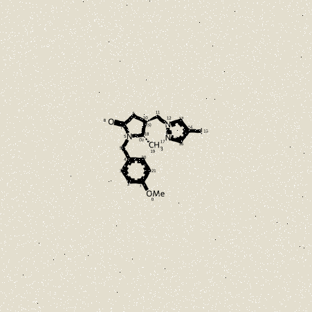 COc1ccc(CN2C(=O)C[C@@H](Cn3cc(I)cn3)[C@@H]2C)cc1